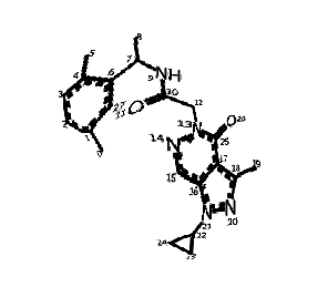 Cc1ccc(C)c(C(C)NC(=O)Cn2ncc3c(c(C)nn3C3CC3)c2=O)c1